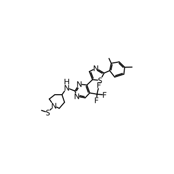 CSN1CCC(Nc2ncc(C(F)(F)F)c(-c3cnc(-c4ccc(C)cc4C)s3)n2)CC1